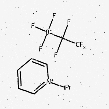 CC(C)[n+]1ccccc1.F[B-](F)(F)C(F)(F)C(F)(F)F